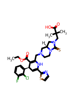 CCOC(=O)C1=C(CN2CCN3C(=S)N(CC(C)(C)C(=O)O)C[C@@H]3C2)NC(c2nccs2)=C[C@H]1c1cccc(F)c1Cl